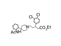 CCOC(=O)CC(CCN1CCC(NC(C)=O)(c2ccccc2)CC1)c1ccc(Cl)c(Cl)c1